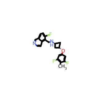 Cc1c(F)cc(O[C@H]2C[C@H](NCc3c(F)ccc4cnccc34)C2)cc1F